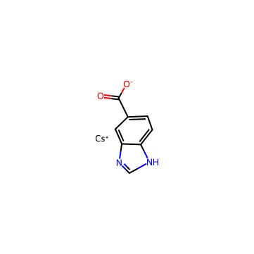 O=C([O-])c1ccc2[nH]cnc2c1.[Cs+]